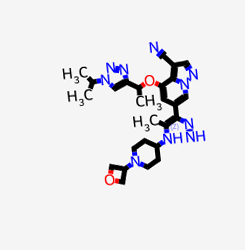 C/C(NC1CCN(C2COC2)CC1)=C(/N=N)c1cc(OC(C)c2cn(C(C)C)nn2)c2c(C#N)cnn2c1